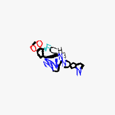 Cc1nc(N2CCC3(CC2)Cc2cccnc2C3)c2ccnn2c1-c1ccc2c(c1F)OCCO2